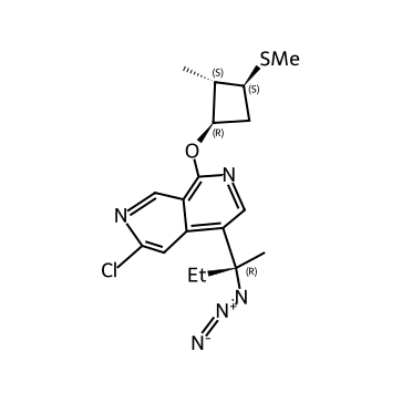 CC[C@@](C)(N=[N+]=[N-])c1cnc(O[C@@H]2C[C@H](SC)[C@H]2C)c2cnc(Cl)cc12